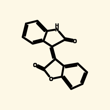 O=C1Nc2ccccc2C1=C1C(=O)Oc2ccccc21